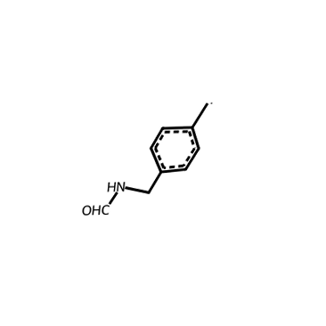 [CH2]c1ccc(CNC=O)cc1